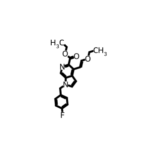 CCOC=Cc1c(C(=O)OCC)ncc2c1ccn2Cc1ccc(F)cc1